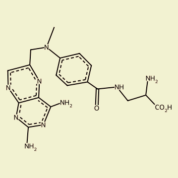 CN(Cc1cnc2nc(N)nc(N)c2n1)c1ccc(C(=O)NCC(N)C(=O)O)cc1